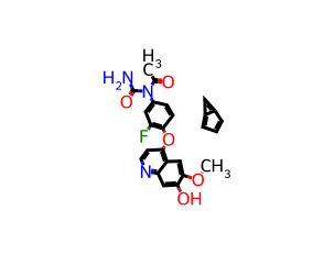 COc1cc2c(Oc3ccc(N(C(C)=O)C(N)=O)cc3F)ccnc2cc1O.c1cc2cc-2c1